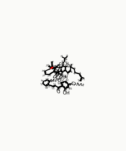 CC(C)=CCCC1(C)C=Cc2c(O)c3c(c(CC=C(C)C)c2O1)OC12C(=CCCC1C(C)(C)OC2(CC=C(C)C(=O)O)C(=O)O)C3=O.COc1cc(O)c(C(=O)C=Cc2ccccc2)c(OC)c1